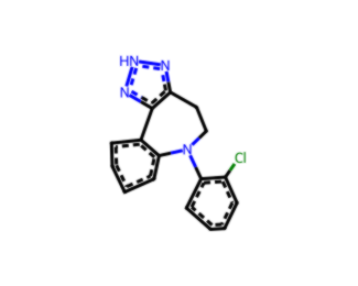 Clc1ccccc1N1CCc2n[nH]nc2-c2ccccc21